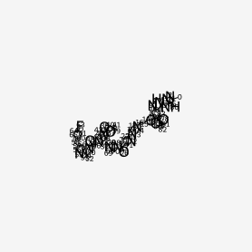 Cc1n[nH]c(Nc2ncnc3cc(OCCCN4CCN(c5ccc(C(=O)N6CCN(C[C@H]7CN(C(=O)OC(C)(C)C)[C@@H](C)CN7CC(=O)N7CC(C)(C)c8ncc(Cc9ccc(F)cc9)cc87)[C@H](C)C6)cn5)CC4)c(S(=O)(=O)C(C)(C)C)cc23)c1C